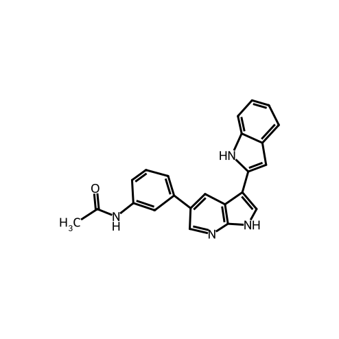 CC(=O)Nc1cccc(-c2cnc3[nH]cc(-c4cc5ccccc5[nH]4)c3c2)c1